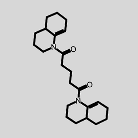 O=C(CCCC(=O)N1CCCC2CCCC=C21)N1CCCC2CCCC=C21